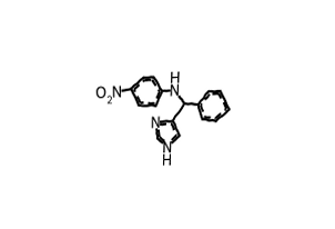 O=[N+]([O-])c1ccc(NC(c2ccccc2)c2c[nH]cn2)cc1